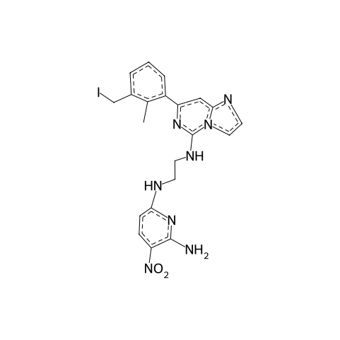 Cc1c(CI)cccc1-c1cc2nccn2c(NCCNc2ccc([N+](=O)[O-])c(N)n2)n1